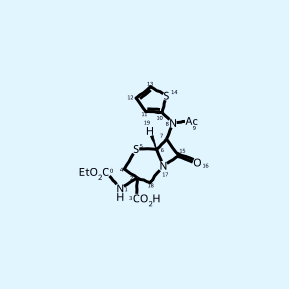 CCOC(=O)NC1(C(=O)O)CS[C@@H]2C(N(C(C)=O)c3cccs3)C(=O)N2C1